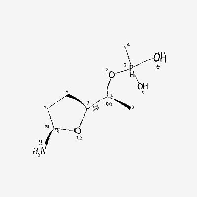 C[C@H](O[PH](C)(O)O)[C@@H]1CC[C@H](N)O1